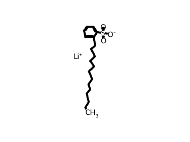 CCCCCCCCCCCCCc1ccccc1S(=O)(=O)[O-].[Li+]